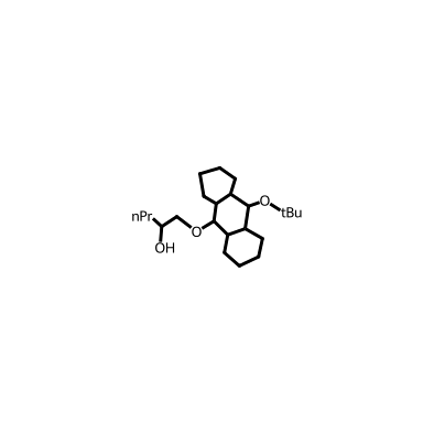 CCCC(O)COC1C2CCCCC2C(OC(C)(C)C)C2CCCCC21